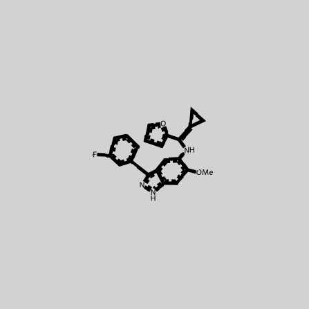 COc1cc2[nH]nc(-c3cccc(F)c3)c2cc1NC(=C1CC1)c1ccco1